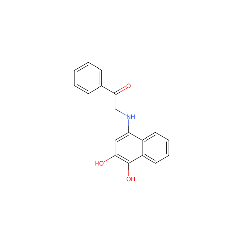 O=C(CNc1cc(O)c(O)c2ccccc12)c1ccccc1